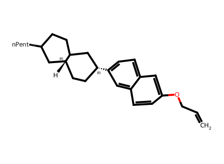 C=CCOc1ccc2cc([C@@H]3CC[C@@H]4CC(CCCCC)CCC4C3)ccc2c1